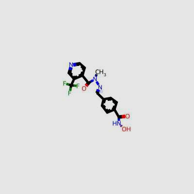 CN(/N=C/c1ccc(C(=O)NO)cc1)C(=O)c1ccncc1C(F)(F)F